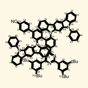 CC(C)(C)c1cc(-c2nc(-c3cc(C(C)(C)C)cc(C(C)(C)C)c3)nc(-c3ccc(-n4c5ccccc5c5cc6c7ccccc7n(-c7ccccc7)c6cc54)c(-c4ccc(-c5ccc(C#N)cc5)cc4-n4c5ccccc5c5cc6c7ccccc7n(-c7ccccc7)c6cc54)c3)n2)cc(C(C)(C)C)c1